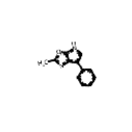 Cc1nc2c(-c3ccccc3)c[nH]c2o1